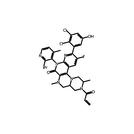 C=CC(=O)N1CC2CN(C)c3c(c4cc(F)c(-c5cc(O)cc(Cl)c5Cl)nc4n(-c4c(C)ccnc4C(C)C)c3=O)N2CC1C